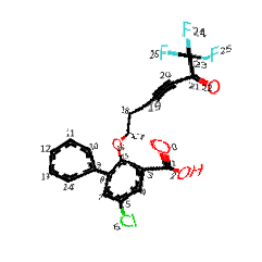 O=C(O)c1cc(Cl)cc(-c2ccccc2)c1OCCC#CC(=O)C(F)(F)F